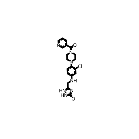 O=C(c1cccnc1)N1CCN(c2ccc(NCc3nc(=O)[nH][nH]3)cc2Cl)CC1